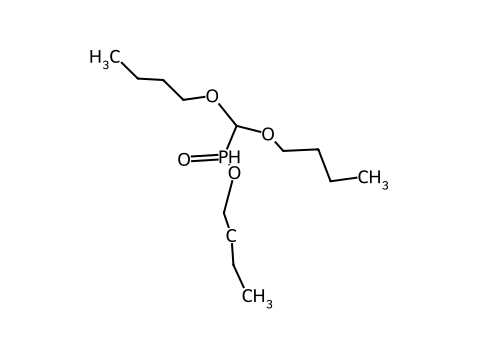 CCCCOC(OCCCC)[PH](=O)OCCCC